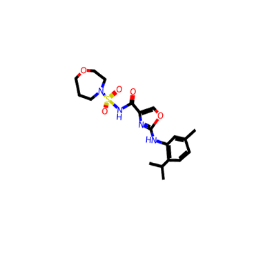 Cc1ccc(C(C)C)c(Nc2nc(C(=O)NS(=O)(=O)N3CCCOCC3)co2)c1